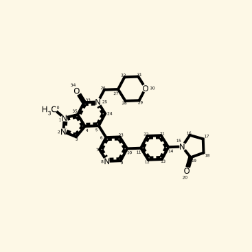 Cn1ncc2c(-c3cncc(-c4ccc(N5CCCC5=O)cc4)c3)cn(CC3CCOCC3)c(=O)c21